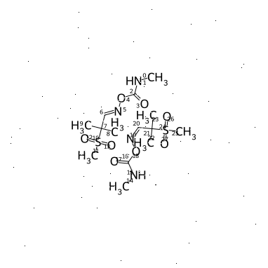 CNC(=O)O/N=C/C(C)(C)S(C)(=O)=O.CNC(=O)O/N=C\C(C)(C)S(C)(=O)=O